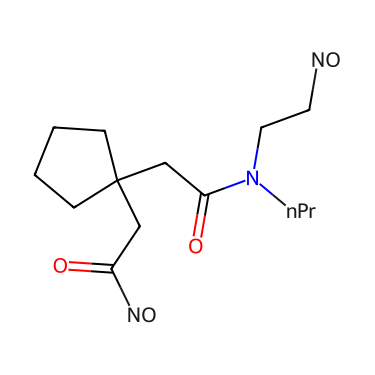 CCCN(CCN=O)C(=O)CC1(CC(=O)N=O)CCCC1